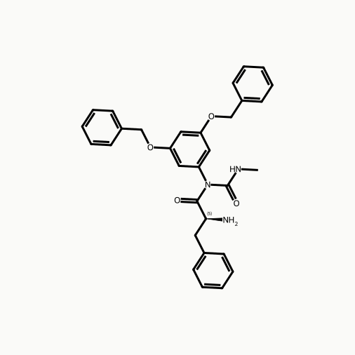 CNC(=O)N(C(=O)[C@@H](N)Cc1ccccc1)c1cc(OCc2ccccc2)cc(OCc2ccccc2)c1